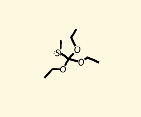 CCOC(OCC)(OCC)[Si]C